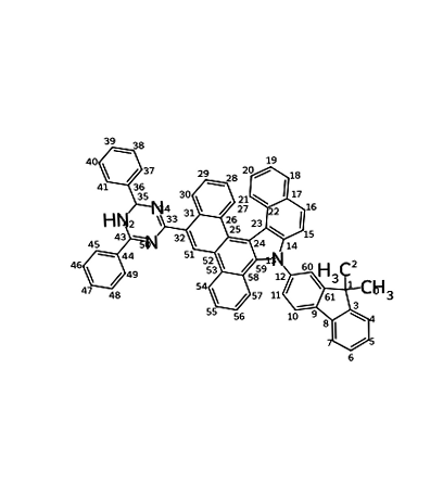 CC1(C)c2ccccc2-c2ccc(-n3c4ccc5ccccc5c4c4c5c6ccccc6c(C6=NC(c7ccccc7)NC(c7ccccc7)=N6)cc5c5ccccc5c43)cc21